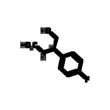 O=C(O)N[C@@H](CO)c1ccc(F)cc1